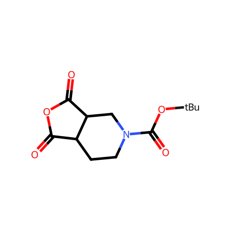 CC(C)(C)OC(=O)N1CCC2C(=O)OC(=O)C2C1